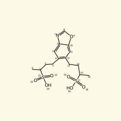 CC(CCc1cc2n[c]oc2cc1CCC(C)S(=O)(=O)O)S(=O)(=O)O